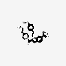 COc1ccc(CCn2c(C(=O)N3CCC(CCN)CC3)cc3ccc(C(=N)N)cc32)cc1